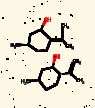 C=C(C)[C@@H]1CC[C@@H](C)C[C@H]1O.CC(C)=C1CC[C@@H](C)C[C@H]1O